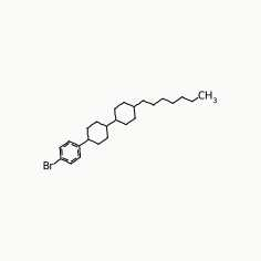 CCCCCCCC1CCC(C2CCC(c3ccc(Br)cc3)CC2)CC1